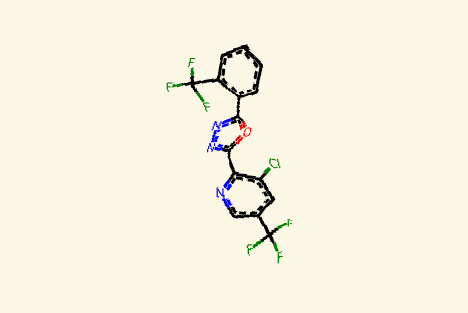 FC(F)(F)c1cnc(-c2nnc(-c3ccccc3C(F)(F)F)o2)c(Cl)c1